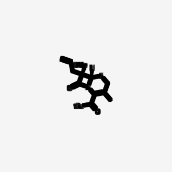 C=CC[C@@]1(OC)C(=O)N2C(C(=O)C(C)(C)C)=C(C)CS[C@H]21